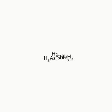 [AsH3].[Hg].[PbH2].[SbH3]